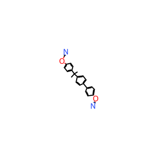 CC(C)(c1ccc(OC#N)cc1)c1ccc(-c2ccc(OC#N)cc2)cc1